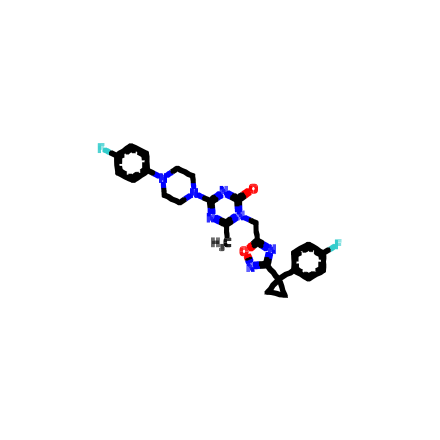 Cc1nc(N2CCN(c3ccc(F)cc3)CC2)nc(=O)n1Cc1nc(C2(c3ccc(F)cc3)CC2)no1